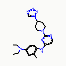 CCN(CC)c1ccc(Nc2ccnc(N3CCC(n4cnnn4)CC3)n2)c(C)c1